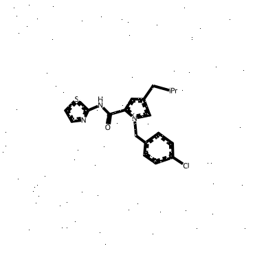 CC(C)Cc1cc(C(=O)Nc2nccs2)n(Cc2ccc(Cl)cc2)c1